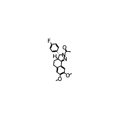 COc1cc2c(cc1OC)C1=NN(C(C)=O)[C@@H](c3ccc(F)cc3)[C@H]1CC2